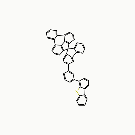 c1cc(-c2ccc3c(c2)-c2ccccc2C32c3cccc4c5ccccc5c5cccc2c5c34)cc(-c2cccc3c2sc2ccccc23)c1